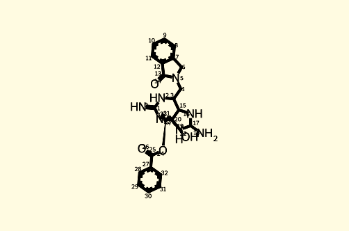 N=C1NC(CN2Cc3ccccc3C2=O)C2NC(N)NC23C(O)[C@@H](OC(=O)c2ccccc2)CN13